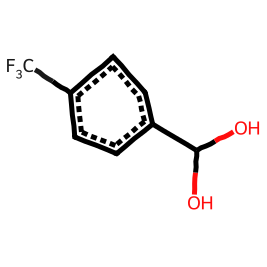 OC(O)c1ccc(C(F)(F)F)cc1